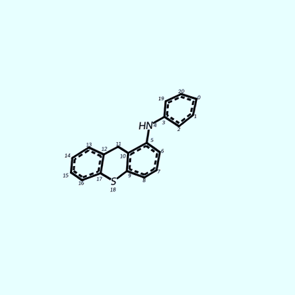 c1ccc(Nc2cccc3c2Cc2ccccc2S3)cc1